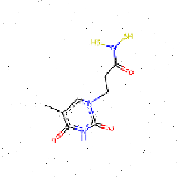 Cc1cn(CCC(=O)N(S)S)c(=O)[nH]c1=O